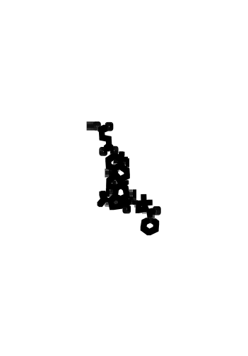 C=C(C)[C@@H]1CC[C@]2(C(=O)N[C@H]3C[C@@H](C(=O)N4CCCCC4)C3(C)C)CC[C@]3(C)[C@H](CC[C@@H]4[C@@]5(C)CC[C@H](OC(=O)CCC(=O)O)C(C)(C)[C@@H]5CC[C@]43C)[C@@H]12